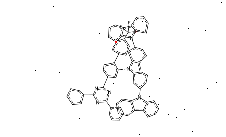 FC(F)(F)c1ccc(-c2ccc(-c3nc(-c4ccccc4)nc(-c4ccccc4)n3)cc2-n2c3cc(-n4c5ccccc5c5ccccc54)ccc3c3ccc(-n4c5ccccc5c5ccccc54)cc32)cc1